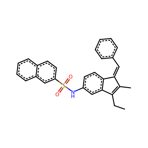 CCC1=C(C)/C(=C/c2ccccc2)c2ccc(NS(=O)(=O)c3ccc4ccccc4c3)cc21